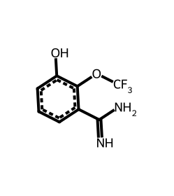 N=C(N)c1cccc(O)c1OC(F)(F)F